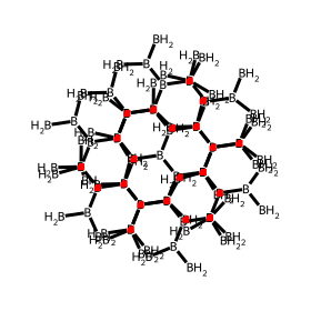 BB(B)B(B)B(B(B(B)B)B(B)B)B(B(B(B(B)B)B(B)B)B(B(B)B)B(B)B)B(B(B(B(B(B)B)B(B)B)B(B(B)B)B(B)B)B(B(B(B)B)B(B)B)B(B(B)B)B(B)B)B(B(B(B(B)B)B(B)B)B(B(B)B)B(B)B)B(B(B(B)B)B(B)B)B(B(B)B)B(B)B